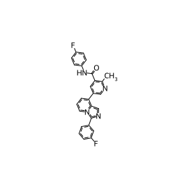 Cc1ncc(-c2cccn3c(-c4cccc(F)c4)ncc23)cc1C(=O)Nc1ccc(F)cc1